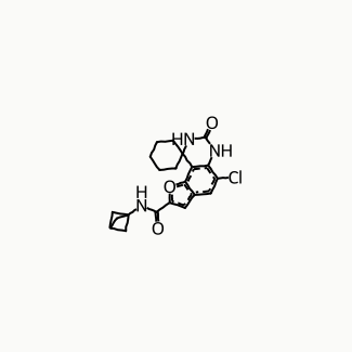 O=C1Nc2c(Cl)cc3cc(C(=O)NC45CC(C4)C5)oc3c2C2(CCCCC2)N1